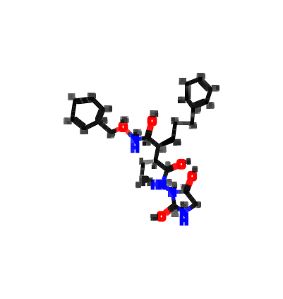 CC(C)C[C@@H](C(=O)NN1C(=O)CNC1=O)[C@H](CCCc1ccccc1)C(=O)NOCc1ccccc1